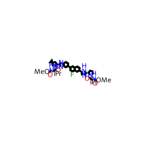 COC(=O)N[C@H](C(=O)N1CCC[C@H]1c1ncc(-c2ccc3cc(-c4ccc5nc([C@@H]6CC7(CC7)CN6C(=O)[C@H](NC(=O)OC)C(C)C)[nH]c5c4)cc(F)c3c2)[nH]1)C(C)C